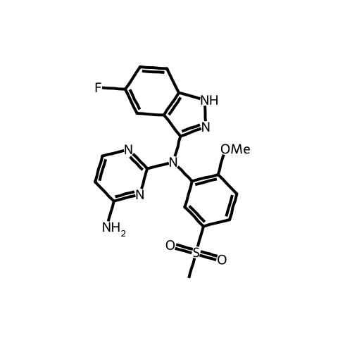 COc1ccc(S(C)(=O)=O)cc1N(c1nccc(N)n1)c1n[nH]c2ccc(F)cc12